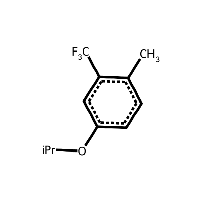 Cc1ccc(OC(C)C)cc1C(F)(F)F